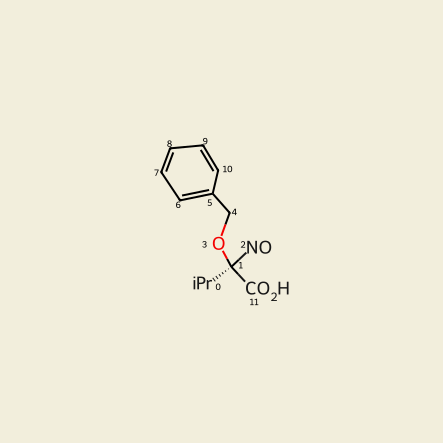 CC(C)[C@@](N=O)(OCc1ccccc1)C(=O)O